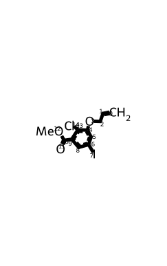 C=CCOc1cc(I)cc(C(=O)OC)c1Cl